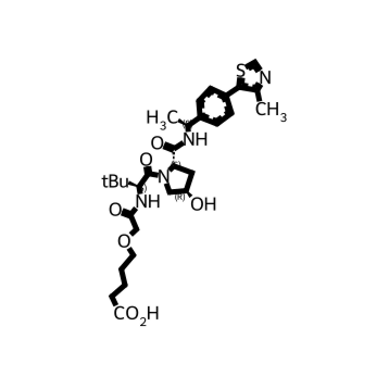 Cc1ncsc1-c1ccc([C@H](C)NC(=O)[C@@H]2C[C@@H](O)CN2C(=O)[C@@H](NC(=O)COCCCCC(=O)O)C(C)(C)C)cc1